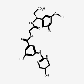 O=C(O)C[C@H](NC(=O)CNC(=O)c1cc(O)cc(NC2=NCC(O)CN2)c1)c1cc(Br)cc(OC(F)(F)F)c1